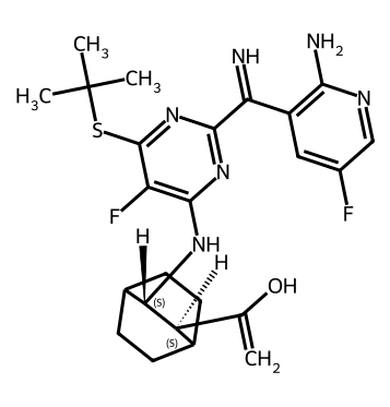 C=C(O)[C@H]1C2CCC(CC2)[C@@H]1Nc1nc(C(=N)c2cc(F)cnc2N)nc(SC(C)(C)C)c1F